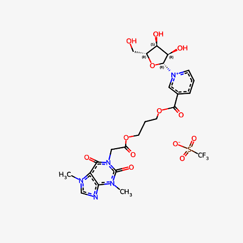 Cn1cnc2c1c(=O)n(CC(=O)OCCCOC(=O)c1ccc[n+]([C@@H]3O[C@H](CO)[C@@H](O)[C@H]3O)c1)c(=O)n2C.O=S(=O)([O-])C(F)(F)F